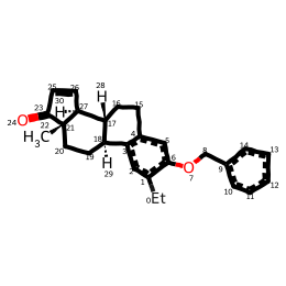 CCc1cc2c(cc1OCc1ccccc1)CC[C@@H]1[C@@H]2CC[C@]2(C)C(=O)C=C[C@@H]12